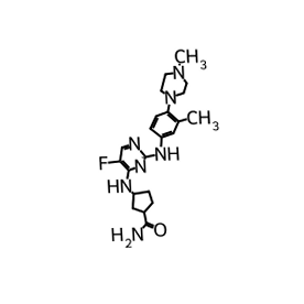 Cc1cc(Nc2ncc(F)c(NC3CCC(C(N)=O)C3)n2)ccc1N1CCN(C)CC1